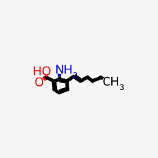 CCCCC=Cc1cccc(C(=O)O)c1N